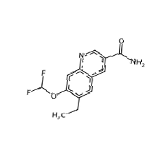 CCc1cc2cc(C(N)=O)cnc2cc1OC(F)F